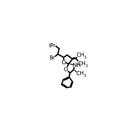 CC(C)=C1CC(C(Br)CC(C)C)O[C@]12N[C@@H](C)C(c1ccccc1)O2